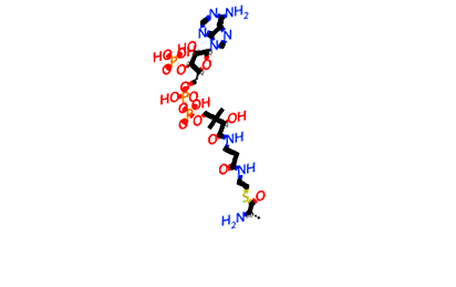 C[C@H](N)C(=O)SCCNC(=O)CCNC(=O)[C@H](O)C(C)(C)COP(=O)(O)OP(=O)(O)OC[C@H]1O[C@@H](n2cnc3c(N)ncnc32)[C@H](O)[C@@H]1OP(=O)(O)O